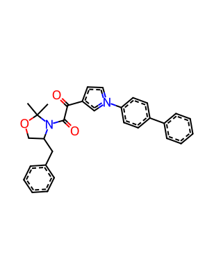 CC1(C)OCC(Cc2ccccc2)N1C(=O)C(=O)c1ccn(-c2ccc(-c3ccccc3)cc2)c1